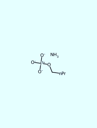 CCCCO[I+3]([O-])([O-])[O-].N